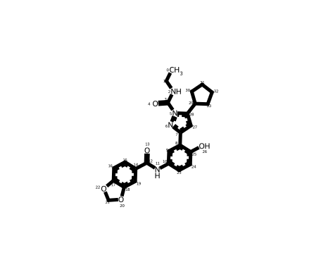 CCNC(=O)n1nc(-c2cc(NC(=O)c3ccc4c(c3)OCO4)ccc2O)cc1C1CCCC1